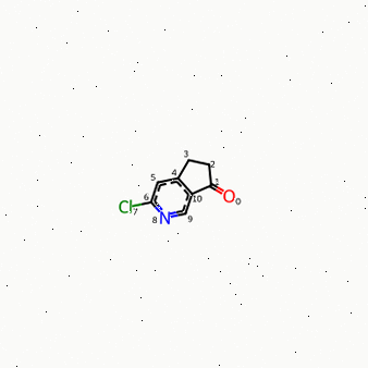 O=C1CCc2cc(Cl)ncc21